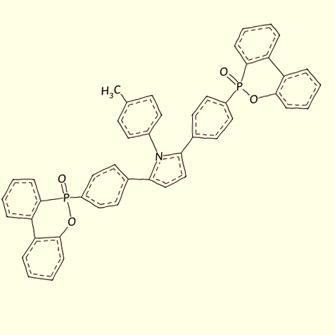 Cc1ccc(-n2c(-c3ccc(P4(=O)Oc5ccccc5-c5ccccc54)cc3)ccc2-c2ccc(P3(=O)Oc4ccccc4-c4ccccc43)cc2)cc1